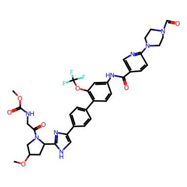 COC(=O)NCC(=O)N1CC(OC)CC1c1nc(-c2ccc(-c3ccc(NC(=O)c4ccc(N5CCN(C=O)CC5)nc4)cc3OC(F)(F)F)cc2)c[nH]1